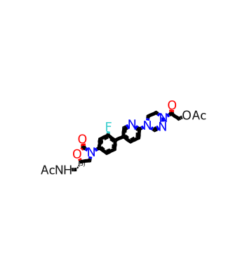 CC(=O)NC[C@H]1CN(c2ccc(-c3ccc(N4C=NN(C(=O)COC(C)=O)CC4)nc3)c(F)c2)C(=O)O1